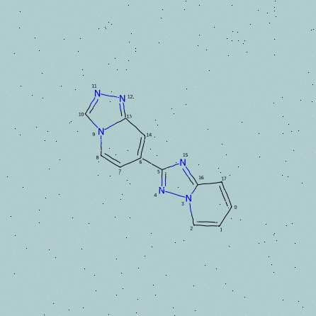 c1ccn2nc(-c3ccn4cnnc4c3)nc2c1